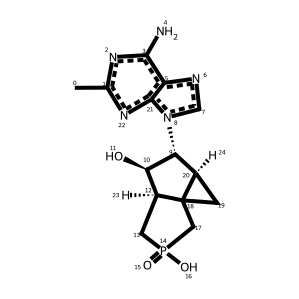 Cc1nc(N)c2ncn([C@H]3[C@H](O)[C@@H]4CP(=O)(O)CC45C[C@H]35)c2n1